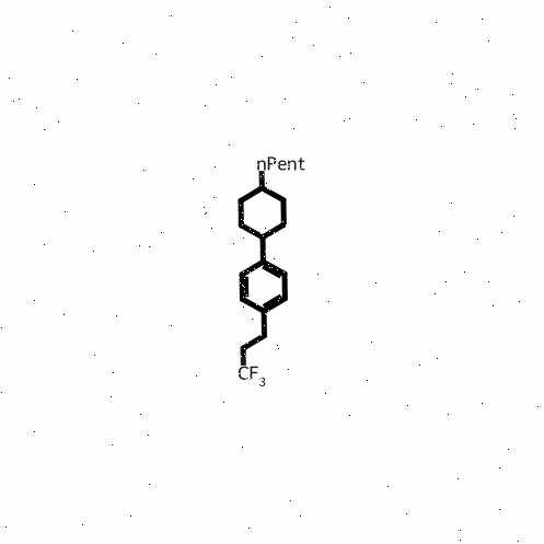 CCCCCC1CCC(c2ccc(CCC(F)(F)F)cc2)CC1